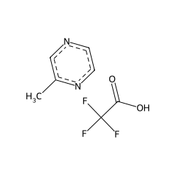 Cc1cnccn1.O=C(O)C(F)(F)F